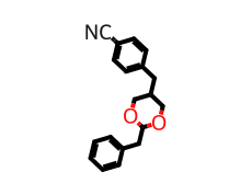 N#Cc1ccc(CC2COC(Cc3ccccc3)OC2)cc1